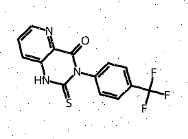 O=c1c2ncccc2[nH]c(=S)n1-c1ccc(C(F)(F)F)cc1